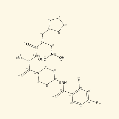 CC(C)(C)[C@H](NC(=O)C(CC1CCCC1)CN(O)C=O)C(=O)N1CCC(NC(=O)c2ccc(F)cc2F)CC1